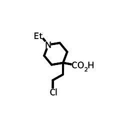 CCN1CCC(CCCl)(C(=O)O)CC1